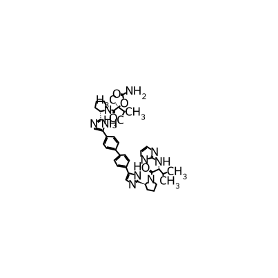 CC(C)[C@@H](Nc1ncccn1)C(=O)N1CCC[C@H]1c1ncc(-c2ccc(-c3ccc(-c4cnc([C@@H]5CCCN5C(=O)[C@@](C)(OC(N)=O)C(C)C)[nH]4)cc3)cc2)[nH]1